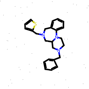 c1ccc(CN2CCN3c4ccccc4CN(Cc4cccs4)CC3C2)cc1